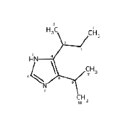 CCC(C)c1[nH]cnc1C(C)C